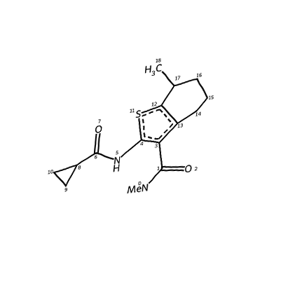 CNC(=O)c1c(NC(=O)C2CC2)sc2c1CCCC2C